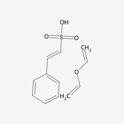 C=COC=C.O=S(=O)(O)C=Cc1ccccc1